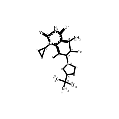 CC1=c2c(c(=O)[nH]c(=O)n2C2CC2)=C(N)C(F)C1N1CCC(C(N)(C(F)(F)F)C(F)(F)F)C1